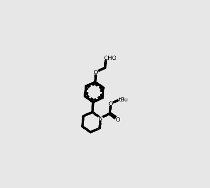 CC(C)(C)OC(=O)N1CCCCC1c1ccc(OCC=O)cc1